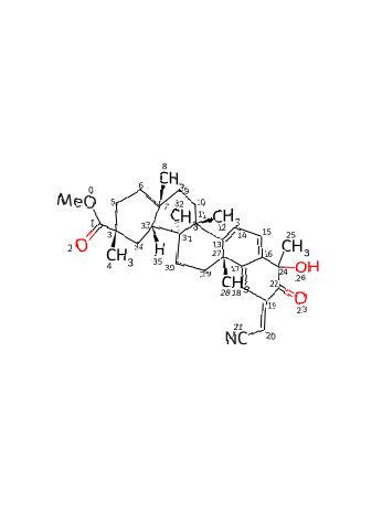 COC(=O)[C@]1(C)CC[C@]2(C)CC[C@]3(C)C4=CC=C5C(=C/C(=C\C#N)C(=O)C5(C)O)[C@]4(C)CC[C@@]3(C)[C@@H]2C1